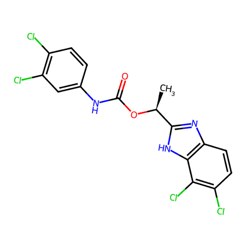 C[C@H](OC(=O)Nc1ccc(Cl)c(Cl)c1)c1nc2ccc(Cl)c(Cl)c2[nH]1